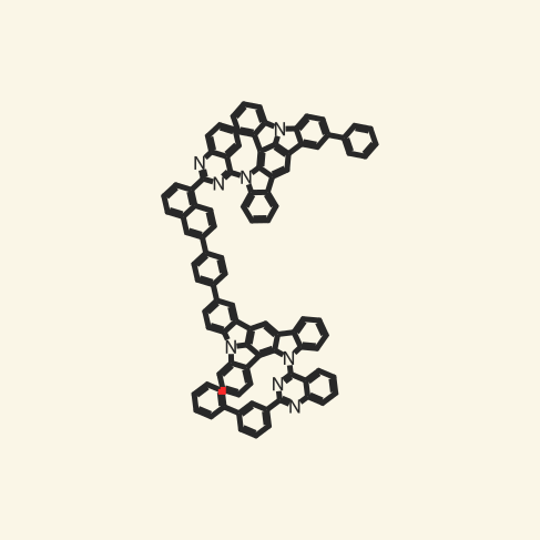 c1ccc(-c2cccc(-c3nc(-n4c5ccccc5c5cc6c7cc(-c8ccc(-c9ccc%10c(-c%11nc(-n%12c%13ccccc%13c%13cc%14c%15cc(-c%16ccccc%16)ccc%15n%15c%16ccccc%16c(c%13%12)c%14%15)c%12ccccc%12n%11)cccc%10c9)cc8)ccc7n7c8ccccc8c(c54)c67)c4ccccc4n3)c2)cc1